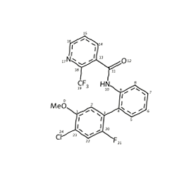 COc1cc(-c2ccccc2NC(=O)c2cccnc2C(F)(F)F)c(F)cc1Cl